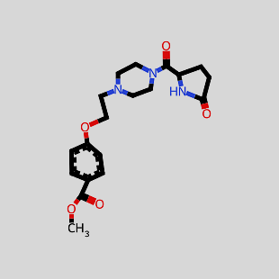 COC(=O)c1ccc(OCCN2CCN(C(=O)C3CCC(=O)N3)CC2)cc1